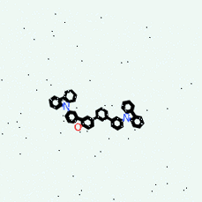 C1=Cc2c(c3ccccc3n2-c2ccc3oc4ccc(C5=CC(c6cccc(-n7c8ccccc8c8ccccc87)c6)=CCC5)cc4c3c2)CC1